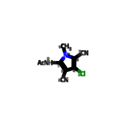 CC(=O)Nc1c(C#N)c(Cl)c(C#N)n1C